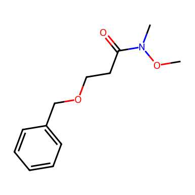 CON(C)C(=O)CCOCc1ccccc1